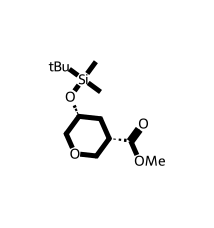 COC(=O)[C@@H]1COC[C@H](O[Si](C)(C)C(C)(C)C)C1